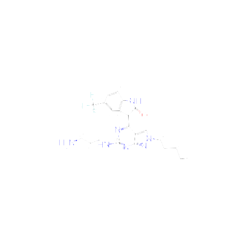 CCCCCn1cc2c(C3C(=O)Nc4ccc(C(F)(F)F)cc43)nc(NCCCN)nc2n1